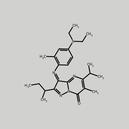 CCC(C)C1=Nn2c(nc(C(C)C)c(C)c2=O)C1=Nc1ccc(N(CC)CC)cc1C